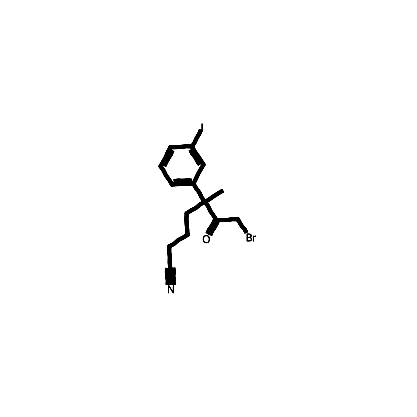 CC(CCCC#N)(C(=O)CBr)c1cccc(I)c1